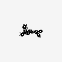 c1ccc(-c2nc(-c3ccccc3)nc(-c3ccc4c(c3)sc3cc(-c5ccc(-c6ccccc6)c6c5oc5ccccc56)ccc34)n2)cc1